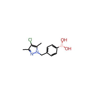 Cc1nn(Cc2ccc(B(O)O)cc2)c(C)c1Cl